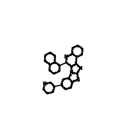 c1cncc(-c2ccc3sc4nc5c6ccccc6nc(-c6cccc7ccccc67)c5n4c3c2)c1